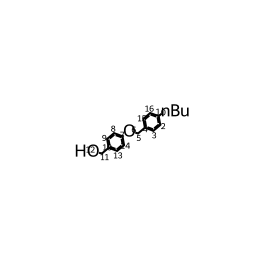 CCCCc1ccc(COc2ccc(CO)cc2)cc1